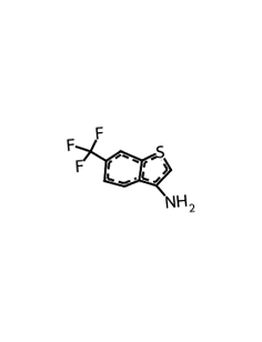 Nc1csc2cc(C(F)(F)F)ccc12